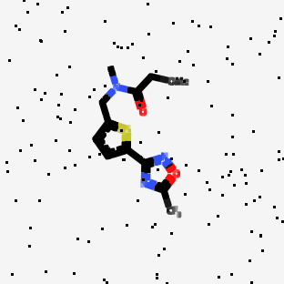 COCC(=O)N(C)Cc1ccc(-c2noc(C(F)(F)F)n2)s1